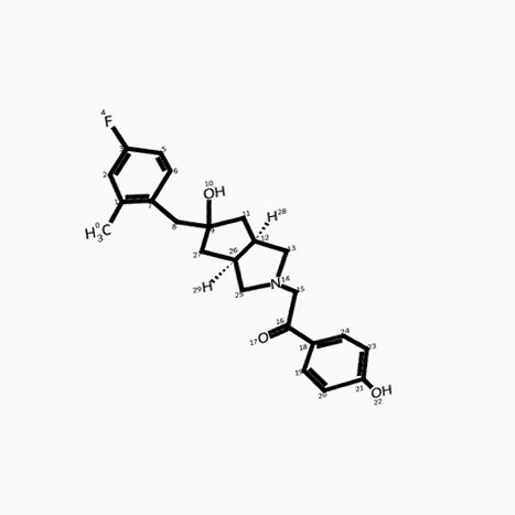 Cc1cc(F)ccc1CC1(O)C[C@H]2CN(CC(=O)c3ccc(O)cc3)C[C@H]2C1